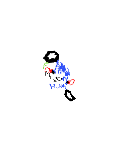 CN(/N=N\N(C=O)c1ccccc1F)C(=O)N(N)C1=CCCC1